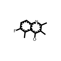 Cc1nc2ccc(F)c(C)c2c([O])c1C